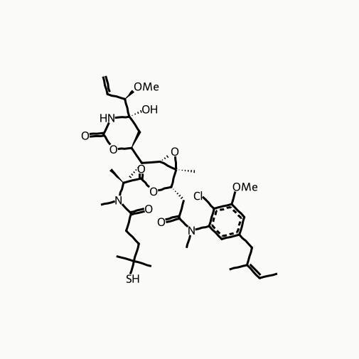 C=C[C@@H](OC)[C@@]1(O)C[C@@H]([C@@H](C)[C@@H]2O[C@@]2(C)[C@H](CC(=O)N(C)c2cc(C/C(C)=C\C)cc(OC)c2Cl)OC(=O)[C@H](C)N(C)C(=O)CCC(C)(C)S)OC(=O)N1